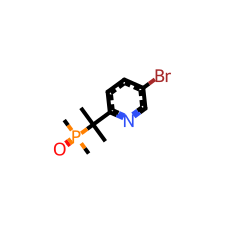 CC(C)(c1ccc(Br)cn1)P(C)(C)=O